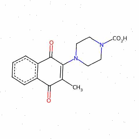 CC1=C(N2CCN(C(=O)O)CC2)C(=O)c2ccccc2C1=O